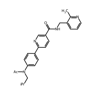 CC(=O)N(CC(C)C)c1ccc(-c2ccc(C(=O)NCc3cccnc3C)cn2)cc1